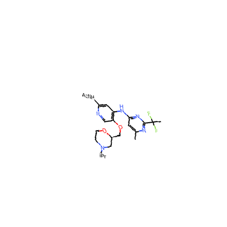 CC(=O)Nc1cc(Nc2cc(C)nc(C(C)(F)F)n2)c(OC[C@H]2CN(C(C)C)CCO2)cn1